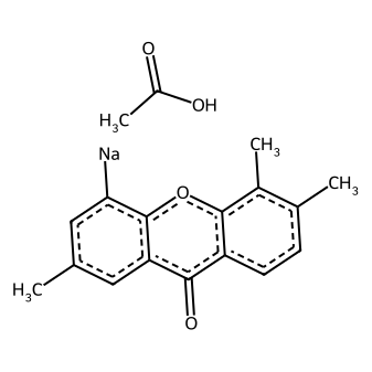 CC(=O)O.Cc1c[c]([Na])c2oc3c(C)c(C)ccc3c(=O)c2c1